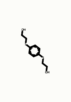 OCCSc1ccc(SCCO)cc1